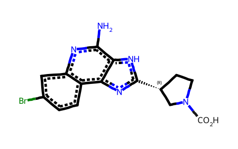 Nc1nc2cc(Br)ccc2c2nc([C@@H]3CCN(C(=O)O)C3)[nH]c12